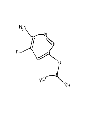 Nc1ncc(OB(O)O)cc1F